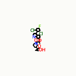 CC(Oc1ccc2c(-c3c(Cl)cc(F)cc3Cl)ccnc2c1)C(=O)N1CCCC(C2(C(=O)O)CC2)C1